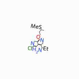 CCC(N)c1cnc(OCCC(C)SC)c2cnc(Cl)cc12